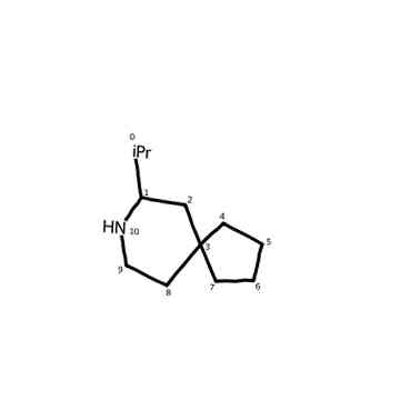 CC(C)C1CC2(CCCC2)CCN1